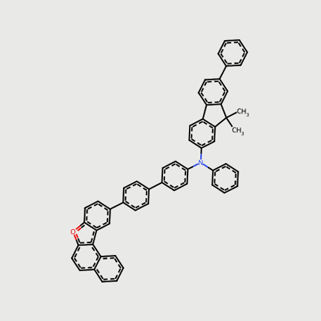 CC1(C)c2cc(-c3ccccc3)ccc2-c2ccc(N(c3ccccc3)c3ccc(-c4ccc(-c5ccc6oc7ccc8ccccc8c7c6c5)cc4)cc3)cc21